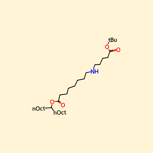 CCCCCCCCC(CCCCCCCC)OC(=O)CCCCCCCNCCCCC(=O)OC(C)(C)C